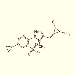 CCS(=O)(=O)c1cc(C2CC2)cnc1-c1ncc(/C=C2\C(Cl)C2C(F)(F)F)n1C